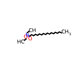 C#CCON(CC#C)C(=O)CCCCCCCCCCCCCCCCC